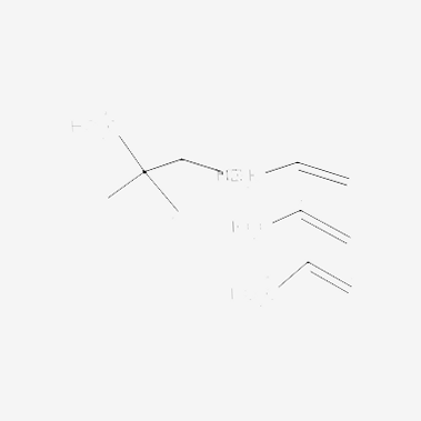 C=CC(=O)O.C=CC(=O)O.C=CC(=O)O.CC(C)(CO)C(=O)O